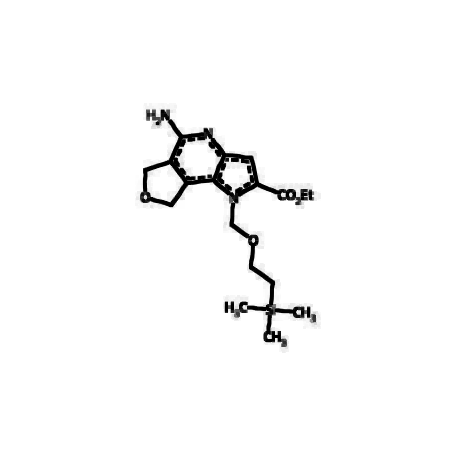 CCOC(=O)c1cc2nc(N)c3c(c2n1COCC[Si](C)(C)C)COC3